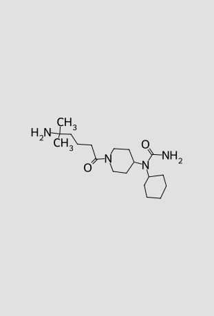 CC(C)(N)CCCC(=O)N1CCC(N(C(N)=O)C2CCCCC2)CC1